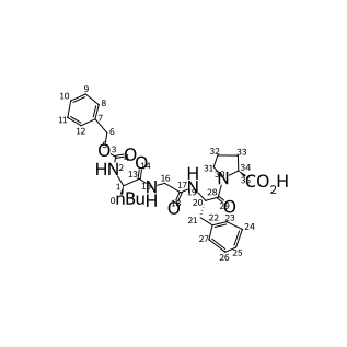 CCCC[C@@H](NC(=O)OCc1ccccc1)C(=O)NCC(=O)N[C@@H](Cc1ccccc1)C(=O)N1CCC[C@H]1C(=O)O